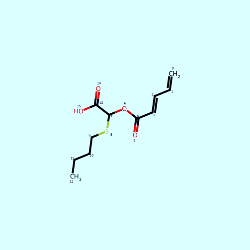 C=CC=CC(=O)OC(SCCCC)C(=O)O